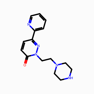 O=c1ccc(-c2ccccn2)nn1CCN1CCNCC1